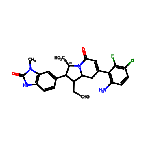 Cn1c(=O)[nH]c2ccc(C3C(CC=O)C4CC(c5c(N)ccc(Cl)c5F)=CC(=O)N4[C@@H]3C(=O)O)cc21